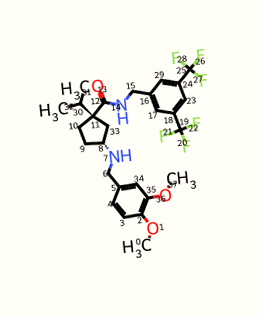 COc1ccc(CN[C@@H]2CC[C@@](C(=O)NCc3cc(C(F)(F)F)cc(C(F)(F)F)c3)(C(C)C)C2)cc1OC